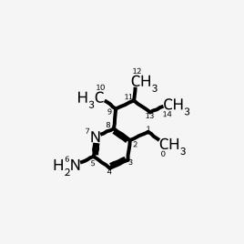 CCc1ccc(N)nc1C(C)C(C)CC